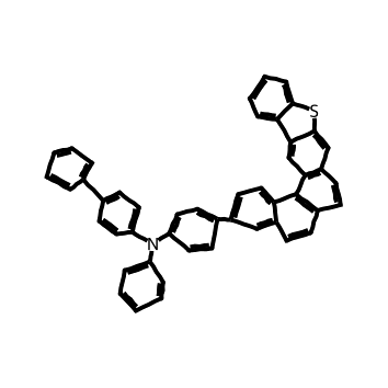 c1ccc(-c2ccc(N(c3ccccc3)c3ccc(-c4ccc5c(ccc6ccc7cc8sc9ccccc9c8cc7c65)c4)cc3)cc2)cc1